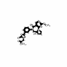 CSc1ncc2c(n1)N1CCC[C@H]1CN(c1cccc(-c3nn(CC(C)=O)c(=O)o3)c1)C2=O